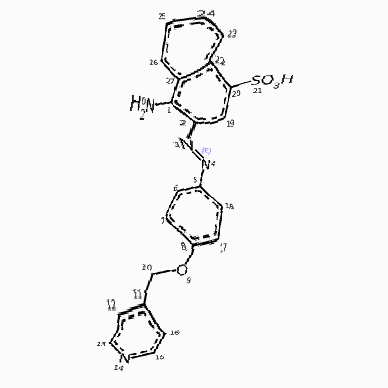 Nc1c(/N=N/c2ccc(OCc3ccncc3)cc2)cc(S(=O)(=O)O)c2ccccc12